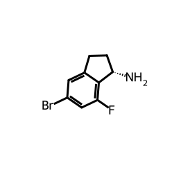 N[C@H]1CCc2cc(Br)cc(F)c21